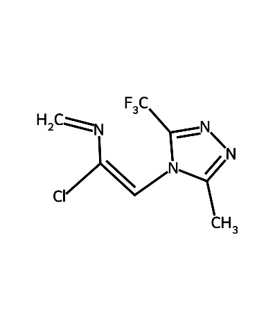 C=N/C(Cl)=C\n1c(C)nnc1C(F)(F)F